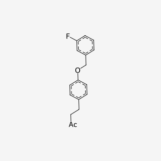 CC(=O)CCc1ccc(OCc2cccc(F)c2)cc1